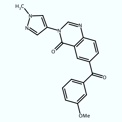 COc1cccc(C(=O)c2ccc3ncn(-c4cnn(C)c4)c(=O)c3c2)c1